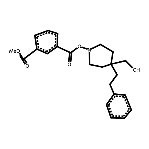 COC(=O)c1cccc(C(=O)ON2CCC(CO)(CCc3ccccc3)CC2)c1